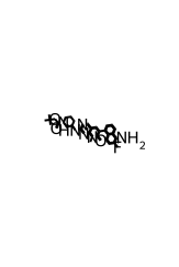 Cn1c(=O)c(-c2cccc3c(N)c(F)ccc23)cc2cnc(NC3CCCN(C(=O)OC(C)(C)C)C3)nc21